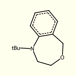 CC(C)(C)N1CCOCc2ccccc21